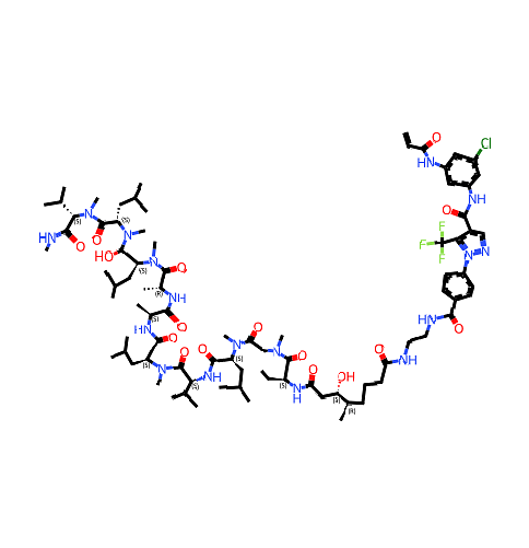 C=CC(=O)Nc1cc(Cl)cc(NC(=O)c2cnn(-c3ccc(C(=O)NCCNC(=O)CCC[C@@H](C)[C@@H](O)CC(=O)N[C@@H](CC)C(=O)N(C)CC(=O)N(C)[C@@H](CC(C)C)C(=O)N[C@H](C(=O)N(C)[C@@H](CC(C)C)C(=O)N[C@@H](C)C(=O)N[C@H](C)C(=O)N(C)[C@@H](CC(C)C)C(O)N(C)[C@@H](CC(C)C)C(=O)N(C)[C@H](C(=O)NC)C(C)C)C(C)C)cc3)c2C(F)(F)F)c1